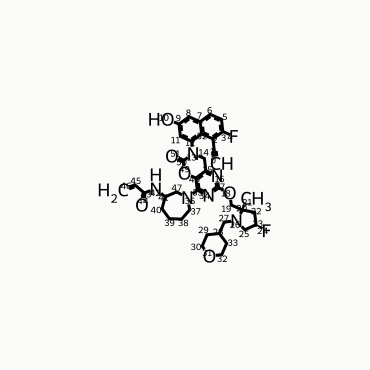 C#Cc1c(F)ccc2cc(O)cc(N3Cc4nc(OC[C@]5(C)C[C@@H](F)CN5CC5CCOCC5)nc(N5CCCCC(NC(=O)C=C)C5)c4OC3=O)c12